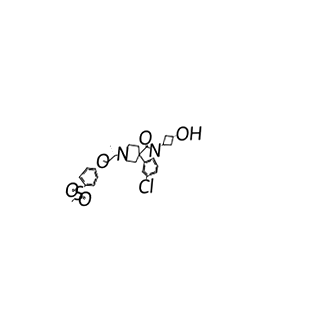 C[C@@H](COc1ccc(S(C)(=O)=O)cc1)N1CCC2(CC1)C(=O)N([C@H]1C[C@@H](O)C1)c1ccc(Cl)cc12